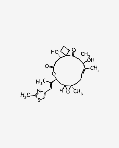 CC(=Cc1csc(C)n1)[C@@H]1C[C@H]2O[C@]2(C)CC/C=C(\C)[C@H](O)[C@@H](C)C(=O)C2(CCC2)[C@@H](O)CC(=O)O1